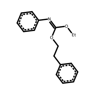 CCOC(=Nc1ccccc1)OCCc1ccccc1